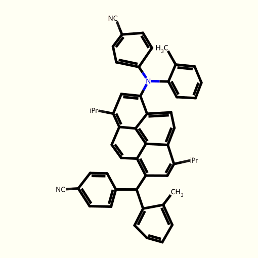 Cc1ccccc1C(c1ccc(C#N)cc1)c1cc(C(C)C)c2ccc3c(N(c4ccc(C#N)cc4)c4ccccc4C)cc(C(C)C)c4ccc1c2c43